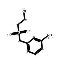 O=[N+]([O-])c1cccc(CS(=O)(=O)CCO)c1